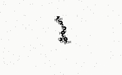 CC1(C)COC[C@@H]1n1c(Cc2cc(F)c(-c3cccc(OCc4ccc(C(=O)NC5(C#N)CC5)nc4)n3)cc2F)nc2ccc(C(=O)O)cc21